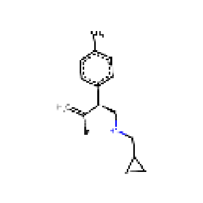 C=C(C(C)C)[C@H](CNCC1CC1)c1ccc(C)cc1